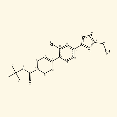 CC(C)(C)OC(=O)N1CC=C(c2ncc(-c3cnc(CO)o3)cc2Cl)CC1